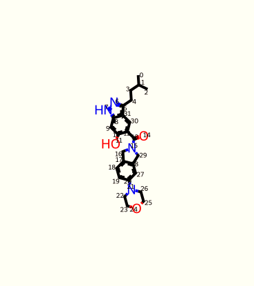 CC(C)CCc1n[nH]c2cc(O)c(C(=O)N3Cc4ccc(N5CCOCC5)cc4C3)cc12